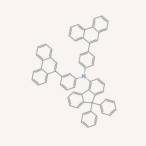 c1ccc(C2(c3ccccc3)c3ccccc3-c3c(N(c4ccc(-c5cc6ccccc6c6ccccc56)cc4)c4cccc(-c5cc6ccccc6c6ccccc56)c4)cccc32)cc1